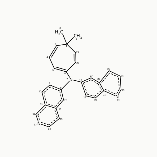 CC1(C)C=CC=C(N(c2ccc3cnccc3c2)c2ccc3ncccc3c2)C=C1